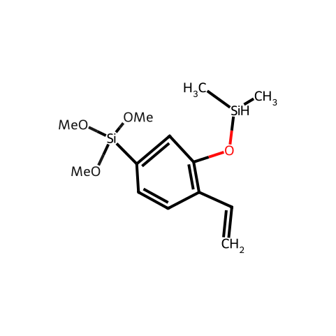 C=Cc1ccc([Si](OC)(OC)OC)cc1O[SiH](C)C